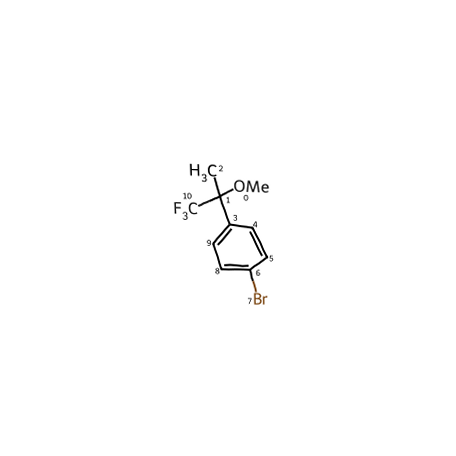 COC(C)(c1ccc(Br)cc1)C(F)(F)F